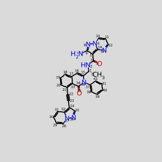 C[C@@H](NC(=O)c1c(N)nn2cccnc12)c1cc2cccc(C#Cc3cnn4ccccc34)c2c(=O)n1-c1ccccc1